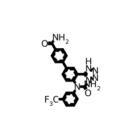 NC(=O)c1ccc(-c2ccc(N(C(N)=O)c3cccc(C(F)(F)F)c3)c(-c3nnn[nH]3)c2)cc1